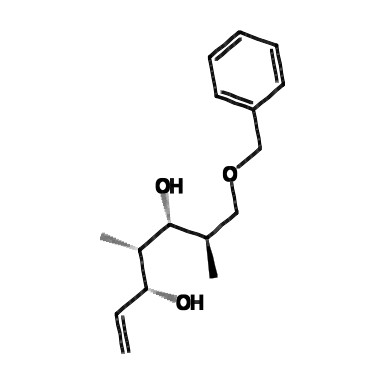 C=C[C@@H](O)[C@H](C)[C@H](O)[C@H](C)COCc1ccccc1